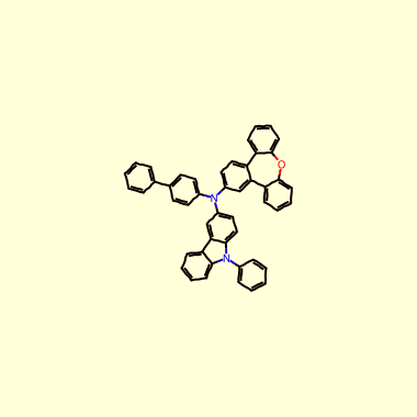 c1ccc(-c2ccc(N(c3ccc4c(c3)-c3ccccc3Oc3ccccc3-4)c3ccc4c(c3)c3ccccc3n4-c3ccccc3)cc2)cc1